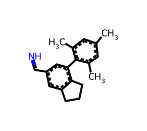 Cc1cc(C)c(-c2cc(C=N)cc3c2CCC3)c(C)c1